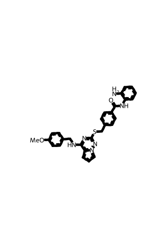 COc1ccc(CNc2nc(SCc3ccc(C(=O)Nc4ccccc4N)cc3)nn3cccc23)cc1